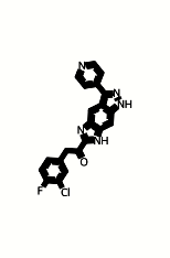 O=C(Cc1ccc(F)c(Cl)c1)c1nc2cc3c(-c4ccncc4)n[nH]c3cc2[nH]1